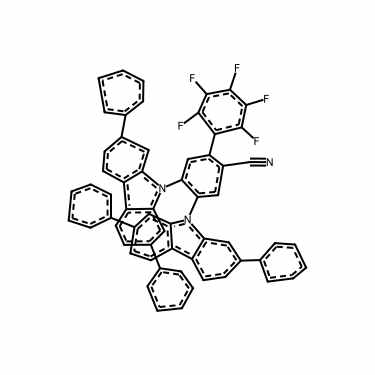 N#Cc1cc(-n2c3cc(-c4ccccc4)ccc3c3ccc(-c4ccccc4)cc32)c(-n2c3cc(-c4ccccc4)ccc3c3ccc(-c4ccccc4)cc32)cc1-c1c(F)c(F)c(F)c(F)c1F